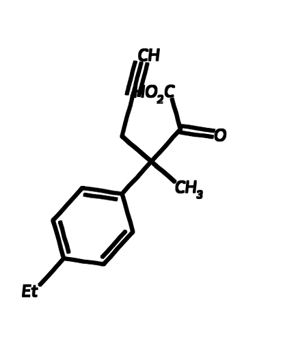 C#CCC(C)(C(=O)C(=O)O)c1ccc(CC)cc1